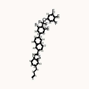 C=CCCc1ccc2nc(-c3ccc4cc(-c5cc(F)c(C(F)(F)Oc6cc(F)c(F)c(F)c6)c(F)c5)ccc4c3)sc2c1